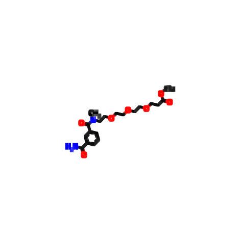 CN(CCOCCOCCOCCC(=O)OC(C)(C)C)C(=O)c1cccc(C(N)=O)c1